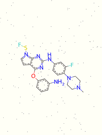 CN1CCN(c2ccc(Nc3nc(Oc4cccc(N)c4)c4ccn(SF)c4n3)cc2F)CC1